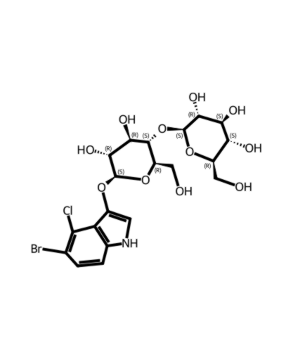 OC[C@H]1O[C@@H](O[C@H]2[C@H](O)[C@@H](O)[C@H](Oc3c[nH]c4ccc(Br)c(Cl)c34)O[C@@H]2CO)[C@H](O)[C@@H](O)[C@@H]1O